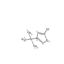 CC(C)(C)[n+]1coc(Cl)c1